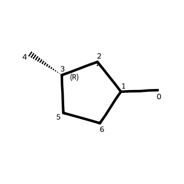 CC1[CH][C@@H](C)CC1